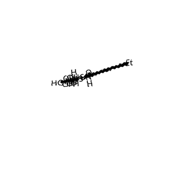 CCC=CCC=CCC=CCC=CCC=CCC=CCCC(=O)NCCSSCCNC(=O)[C@H](O)[C@@H](O)[C@H](O)[C@H](O)CO